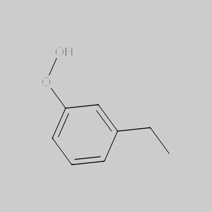 CCc1cccc(OO)c1